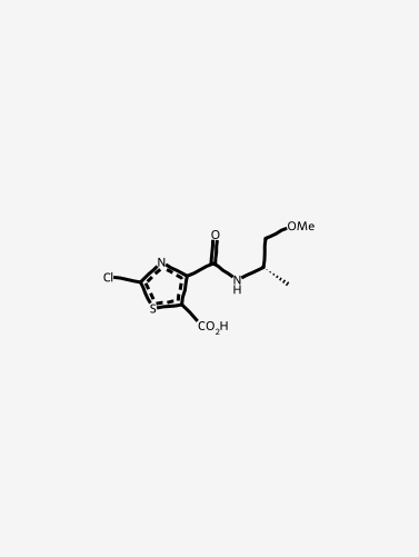 COC[C@H](C)NC(=O)c1nc(Cl)sc1C(=O)O